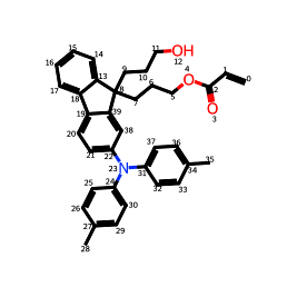 C=CC(=O)OCCCC1(CCCO)c2ccccc2-c2ccc(N(c3ccc(C)cc3)c3ccc(C)cc3)cc21